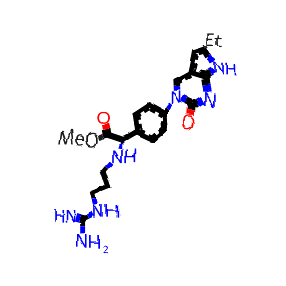 CCc1cc2cn(-c3ccc([C@@H](NCCCNC(=N)N)C(=O)OC)cc3)c(=O)nc2[nH]1